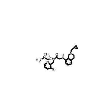 CN(C)CCN(Cc1ncccc1Br)C(=O)CNc1cccc2c1CN(CC1CC1)CC2